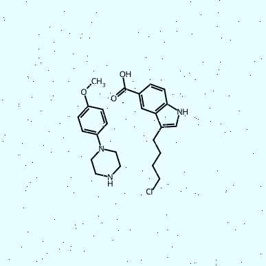 COc1ccc(N2CCNCC2)cc1.O=C(O)c1ccc2[nH]cc(CCCCCl)c2c1